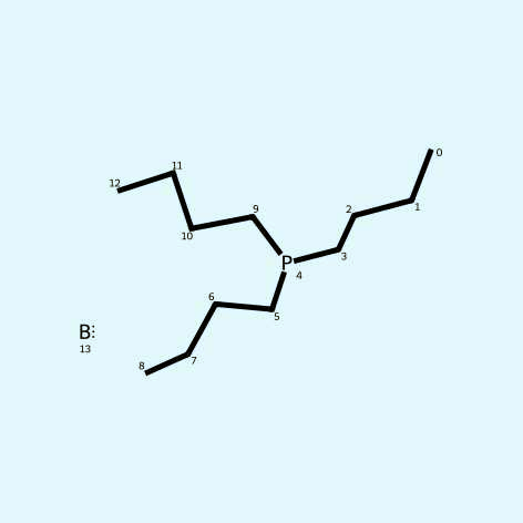 CCCCP(CCCC)CCCC.[B]